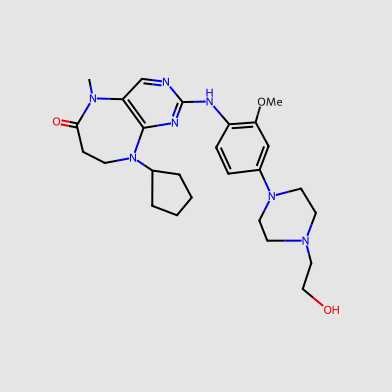 COc1cc(N2CCN(CCO)CC2)ccc1Nc1ncc2c(n1)N(C1CCCC1)CCC(=O)N2C